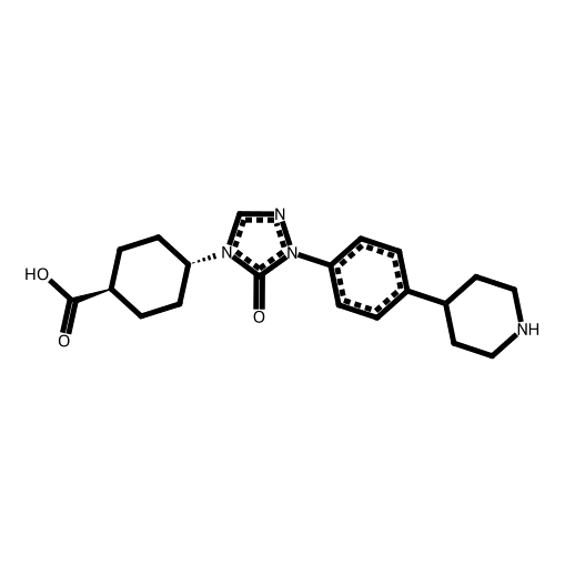 O=c1n(-c2ccc(C3CCNCC3)cc2)ncn1[C@H]1CC[C@H](C(=O)O)CC1